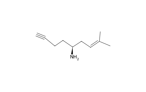 C#CCC[C@H](N)CC=C(C)C